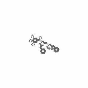 COc1cc(C(=O)N(CCCN2CCNC(Cc3ccccc3)C2)CC(C)=Cc2ccccc2)cc(OC)c1OC